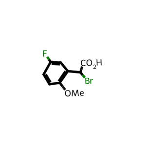 COc1ccc(F)cc1C(Br)C(=O)O